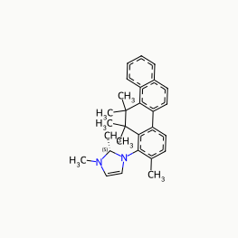 Cc1ccc2c(c1N1C=CN(C)[C@@H]1C)C(C)(C)C(C)(C)c1c-2ccc2ccccc12